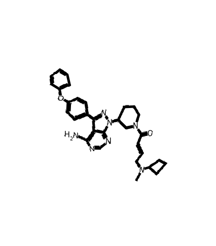 CN(CC=CC(=O)N1CCCC(n2nc(-c3ccc(Oc4ccccc4)cc3)c3c(N)ncnc32)C1)C1CCC1